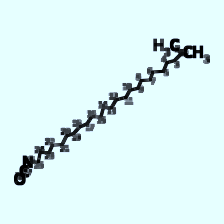 CC(C)CCCCCCCCCCCCCCCCCCCCCCCN=C=O